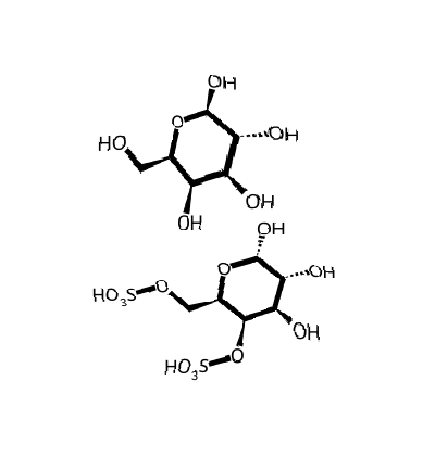 O=S(=O)(O)OC[C@H]1O[C@H](O)[C@H](O)[C@@H](O)[C@H]1OS(=O)(=O)O.OC[C@H]1O[C@@H](O)[C@H](O)[C@@H](O)[C@H]1O